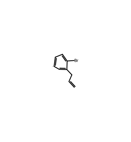 C=CCc1c[c]ccc1Br